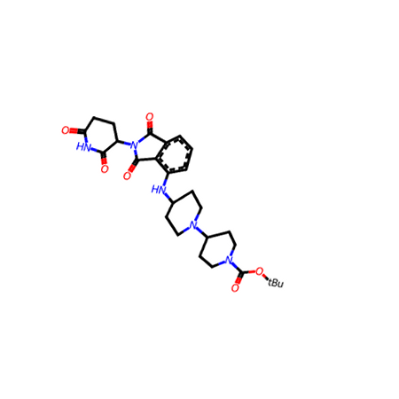 CC(C)(C)OC(=O)N1CCC(N2CCC(Nc3cccc4c3C(=O)N(C3CCC(=O)NC3=O)C4=O)CC2)CC1